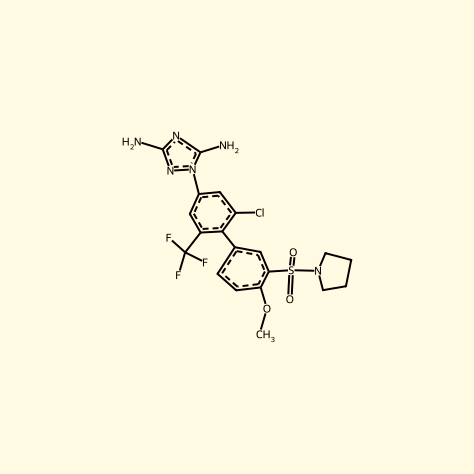 COc1ccc(-c2c(Cl)cc(-n3nc(N)nc3N)cc2C(F)(F)F)cc1S(=O)(=O)N1CCCC1